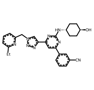 CCc1cccc(Cn2cc(-c3cc(-c4cccc(C#N)c4)nc(N[C@H]4CC[C@H](O)CC4)n3)nn2)n1